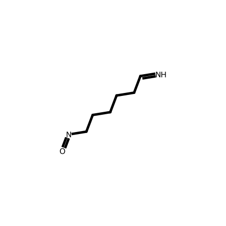 N=CCCCCCN=O